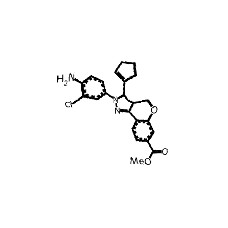 COC(=O)c1ccc2c(c1)OCC1C2=NN(c2ccc(N)c(Cl)c2)C1C1=CCCC1